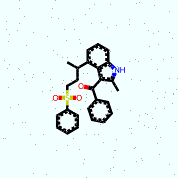 Cc1[nH]c2cccc(C(C)CCS(=O)(=O)c3ccccc3)c2c1C(=O)c1ccccc1